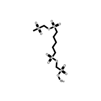 CC(C)(C)OS(=O)(=O)COS(=O)(=O)CCCCCS(=O)(=O)OCS(C)(=O)=O